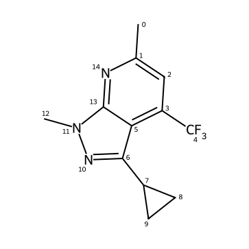 Cc1cc(C(F)(F)F)c2c(C3CC3)nn(C)c2n1